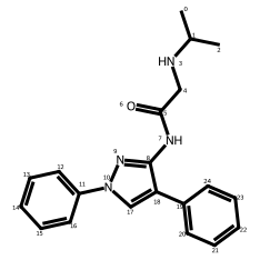 CC(C)NCC(=O)Nc1nn(-c2ccccc2)cc1-c1ccccc1